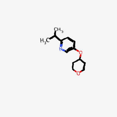 CC(C)c1ccc(OC2CCOCC2)cn1